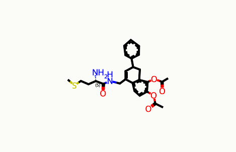 CSCC[C@H](N)C(=O)NCC1=CC(c2ccccc2)Cc2c1ccc(OC(C)=O)c2OC(C)=O